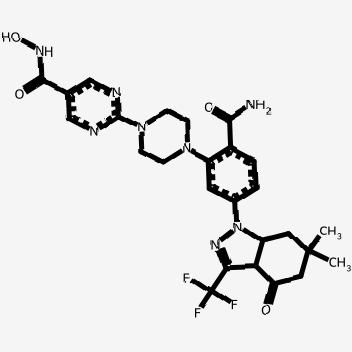 CC1(C)CC(=O)C2C(C(F)(F)F)=NN(c3ccc(C(N)=O)c(N4CCN(c5ncc(C(=O)NO)cn5)CC4)c3)C2C1